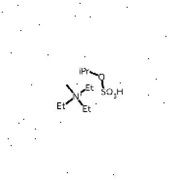 CC(C)OS(=O)(=O)O.CC[N+](C)(CC)CC